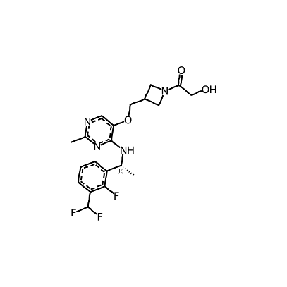 Cc1ncc(OCC2CN(C(=O)CO)C2)c(N[C@H](C)c2cccc(C(F)F)c2F)n1